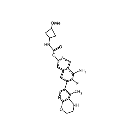 COC1CC(NC(=O)Oc2cc3cc(-c4cnc5c(c4C)NCCO5)c(F)c(N)c3cn2)C1